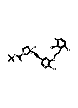 CC(C)(C)OC(=O)N1CC[C@@](O)(C#Cc2cnc(N)c(OCCc3c(Cl)ccc(F)c3Cl)c2)C1